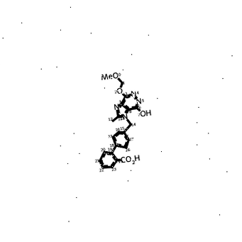 COCOc1nnc(O)c2c1nc(C)n2Cc1ccc(-c2ccccc2C(=O)O)cc1